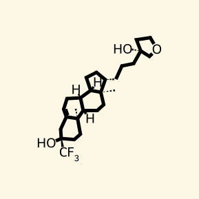 C[C@]12CC[C@H]3[C@@H](CC=C4C[C@](O)(C(F)(F)F)CC[C@@]43C)[C@@H]1CC[C@@H]2CCC[C@@]1(O)CCOC1